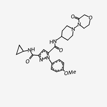 COc1ccc(-n2nc(C(=O)NC3CC3)cc2C(=O)NC2CCN(N3CCOCC3=O)CC2)cc1